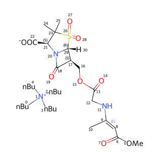 CCCC[N+](CCCC)(CCCC)CCCC.COC(=O)/C=C(\C)NCC(=O)OC[C@H]1C(=O)N2[C@@H](C(=O)[O-])C(C)(C)S(=O)(=O)[C@H]12